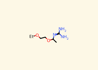 CCOCCOC(C)N=C(N)N